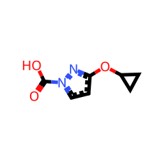 O=C(O)n1ccc(OC2CC2)n1